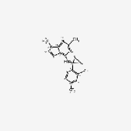 Cc1nc(NC2(c3ccc(C(F)(F)F)cc3F)CC2)c2cnn(C)c2n1